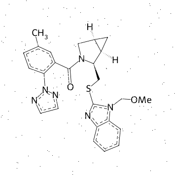 COCn1c(SC[C@@H]2[C@@H]3C[C@@H]3CN2C(=O)c2cc(C)ccc2-n2nccn2)nc2ccccc21